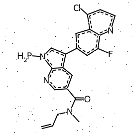 C=CCN(C)C(=O)c1cnc2c(c1)c(-c1cc(F)c3nccc(Cl)c3c1)cn2P